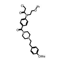 COc1ccc(CCN2CCN(C(=O)c3ccc(N(CCOC(C)C)C(=O)CCl)cc3)CC2)cc1